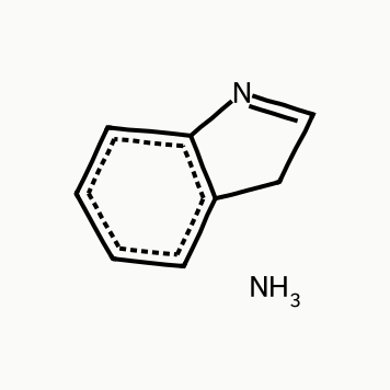 C1=Nc2ccccc2C1.N